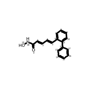 O=C(C=CC=Cc1ccccc1-c1ccccc1)NO